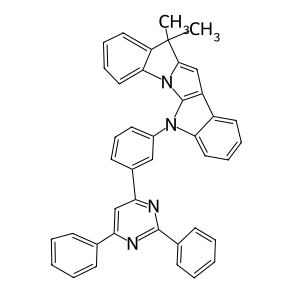 CC1(C)c2ccccc2-n2c1cc1c3ccccc3n(-c3cccc(-c4cc(-c5ccccc5)nc(-c5ccccc5)n4)c3)c12